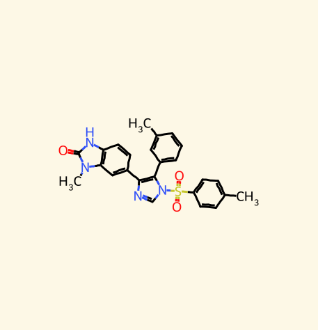 Cc1ccc(S(=O)(=O)n2cnc(-c3ccc4[nH]c(=O)n(C)c4c3)c2-c2cccc(C)c2)cc1